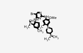 COc1cc(N2CCC(N(C)C)CC2)c(C)cc1Nc1ncc(Br)c(Nc2ccc(C)cc2P(C)C)n1